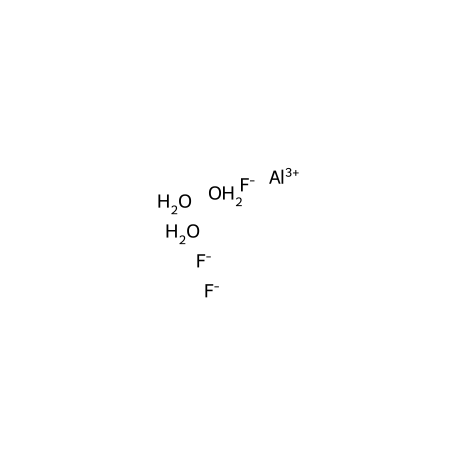 O.O.O.[Al+3].[F-].[F-].[F-]